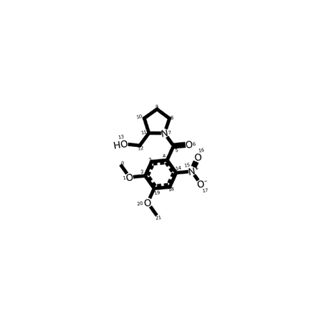 COc1cc(C(=O)N2CCCC2CO)c([N+](=O)[O-])cc1OC